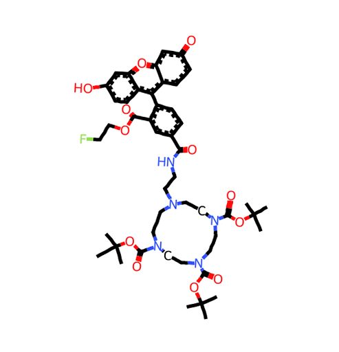 CC(C)(C)OC(=O)N1CCN(CCNC(=O)c2ccc(-c3c4ccc(=O)cc-4oc4cc(O)ccc34)c(C(=O)OCCF)c2)CCN(C(=O)OC(C)(C)C)CCN(C(=O)OC(C)(C)C)CC1